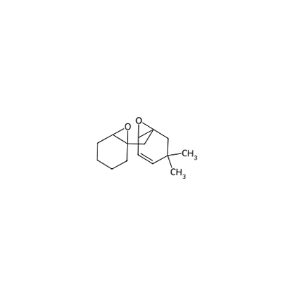 CC1(C)C=CC2OC2(CC23CCCCC2O3)C1